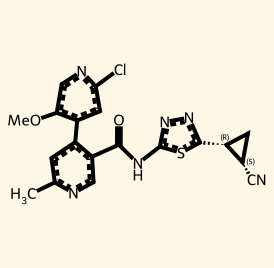 COc1cnc(Cl)cc1-c1cc(C)ncc1C(=O)Nc1nnc([C@@H]2C[C@@H]2C#N)s1